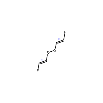 F/C=C/SS/C=C/F